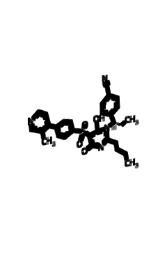 CCCCc1nc(=O)c(S(=O)(=O)c2ccc(-c3ccncc3C)cc2)c(O)n1[C@@H](CC)c1ccc(C#N)cc1